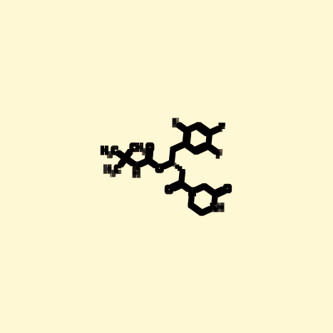 CC(C)(C)NC(=O)O[C@@H](CC(=O)N1CCNC(=O)C1)Cc1cc(F)c(F)cc1F